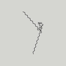 CCCCCCCCCCCCO[SiH](CC(C)CN)OCCCCCCCCCCCC